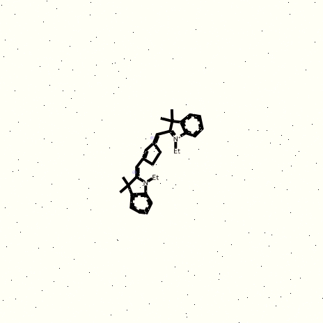 CCN1/C(=C\C2=CC(=C/C3=[N+](CC)c4ccccc4C3(C)C)/CC2)C(C)(C)c2ccccc21